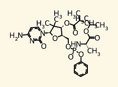 CC(C)OC(=O)[C@H](C)NP(=O)(OC[C@H]1O[C@@H](n2ccc(N)nc2=O)C(C)(C)[C@@H]1OC(=O)C(C)C)Oc1ccccc1